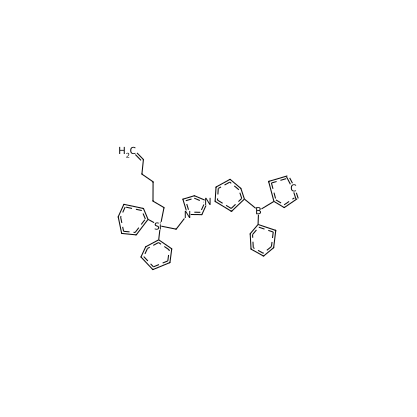 C=CCCCC[Si](Cn1ccnc1)(c1ccccc1)c1ccccc1.c1ccc(B(c2ccccc2)c2ccccc2)cc1